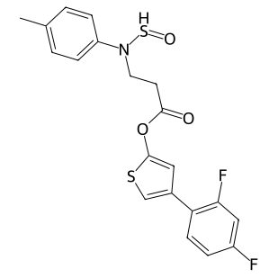 Cc1ccc(N(CCC(=O)Oc2cc(-c3ccc(F)cc3F)cs2)[SH]=O)cc1